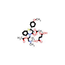 COc1ccc([C@H]2Sc3ccccc3N(CC(CN(C)C)OC(C)=O)C(=O)[C@H]2OC(C)=O)cc1.O=C(O)/C=C/C(=O)O